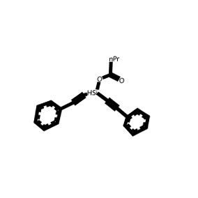 CCCC(=O)O[SiH](C#Cc1ccccc1)C#Cc1ccccc1